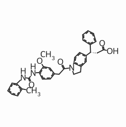 COc1cc(CC(=O)N2CCc3cc([C@@H](CC(=O)O)c4ccccc4)ccc32)ccc1NC(=O)Nc1ccccc1C